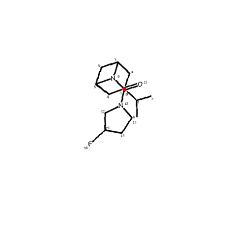 CC(C)N1CC2CC(C1)N2C(=O)N1CCC(F)C1